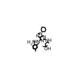 Cc1ccc(N)c(CNc2nc(NC(C)CC(C)(C)O)nc3c2ncn3C2CCCCC2)c1